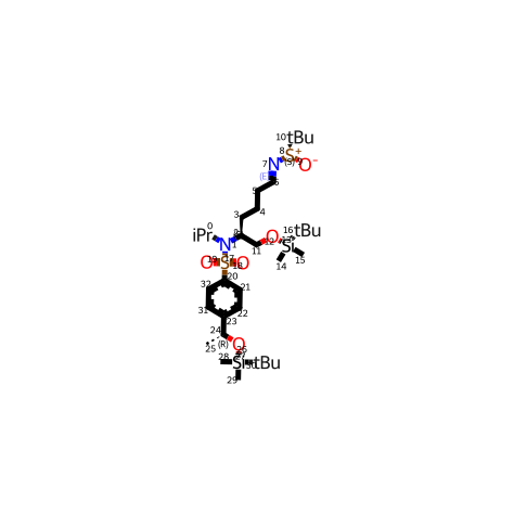 CC(C)N([C@@H](CCC/C=N/[S@+]([O-])C(C)(C)C)CO[Si](C)(C)C(C)(C)C)S(=O)(=O)c1ccc([C@@H](C)O[Si](C)(C)C(C)(C)C)cc1